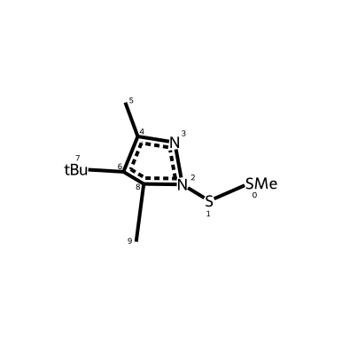 CSSn1nc(C)c(C(C)(C)C)c1C